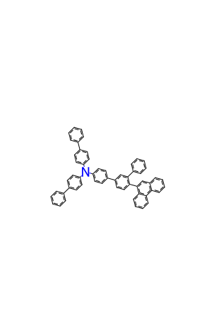 c1ccc(-c2ccc(N(c3ccc(-c4ccccc4)cc3)c3ccc(-c4ccc(-c5cc6ccccc6c6ccccc56)c(-c5ccccc5)c4)cc3)cc2)cc1